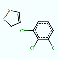 C1=CSSC1.Clc1cccc(Cl)c1Cl